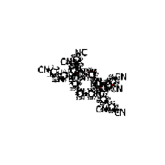 [C-]#[N+]c1ccc(-c2ccc3c(c2)c2cc(-c4ccc([N+]#[C-])cc4[N+]#[C-])ccc2n3-c2ccc(-c3cccc(-c4ccc(-n5c6ccc(-c7ccc(C#N)cc7C#N)cc6c6cc(-c7ccc(C#N)cc7[N+]#[C-])ccc65)c(-c5nc(-c6ccccc6)nc(-c6ccccc6)n5)c4)c3)cc2-c2nc(-c3ccccc3)nc(-c3ccccc3)n2)c(C#N)c1